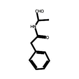 CC(C=O)NC(=O)Cc1ccccc1